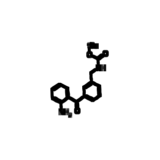 CC(C)(C)OC(=O)NCc1cccc(C(=O)c2ccccc2N)c1